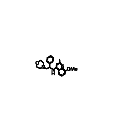 COc1cccc2c(NC(CN3CCOCC3)c3ccccc3)cc(C)nc12